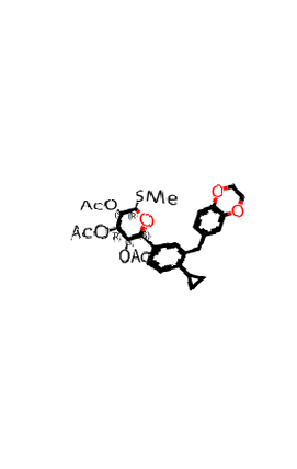 CS[C@H]1O[C@@H](c2ccc(C3CC3)c(Cc3ccc4c(c3)OCCO4)c2)[C@H](OC(C)=O)[C@@H](OC(C)=O)[C@@H]1OC(C)=O